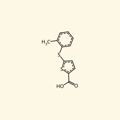 Cc1ccccc1Sc1ccc(C(=O)O)s1